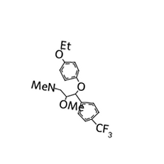 CCOc1ccc(OC(c2ccc(C(F)(F)F)cc2)C(CNC)OC)cc1